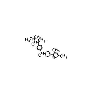 Cc1cnc(N2CCN(C(=O)c3ccc(N(C)C(=O)N(C)C)cc3)CC2)c(C)c1